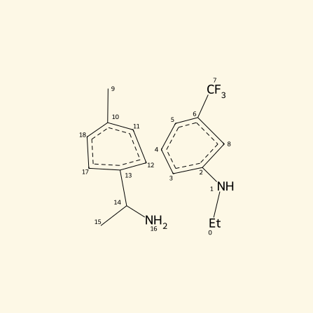 CCNc1cccc(C(F)(F)F)c1.Cc1ccc(C(C)N)cc1